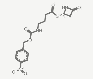 O=C1C[C@H](SC(=O)CCCNC(=O)OCc2ccc([N+](=O)[O-])cc2)N1